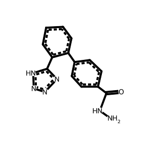 NNC(=O)c1ccc(-c2ccccc2-c2nnn[nH]2)cc1